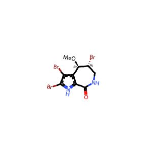 CO[C@@H]1c2c([nH]c(Br)c2Br)C(=O)NC[C@H]1Br